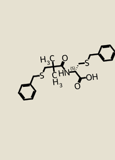 CC(C)(CSCc1ccccc1)C(=O)N[C@H](CSCc1ccccc1)C(=O)O